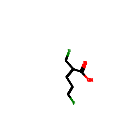 O=C(O)C(CF)CCCF